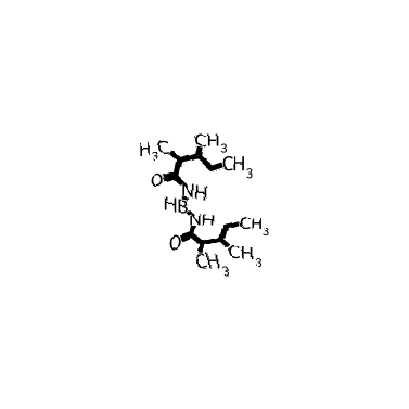 CCC(C)C(C)C(=O)NBNC(=O)C(C)C(C)CC